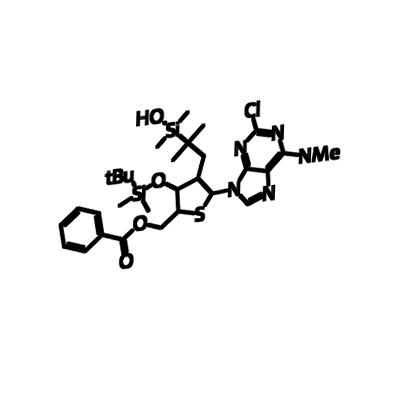 CNc1nc(Cl)nc2c1ncn2C1SC(COC(=O)c2ccccc2)C(O[Si](C)(C)C(C)(C)C)C1CC(C)(C)[Si](C)(C)O